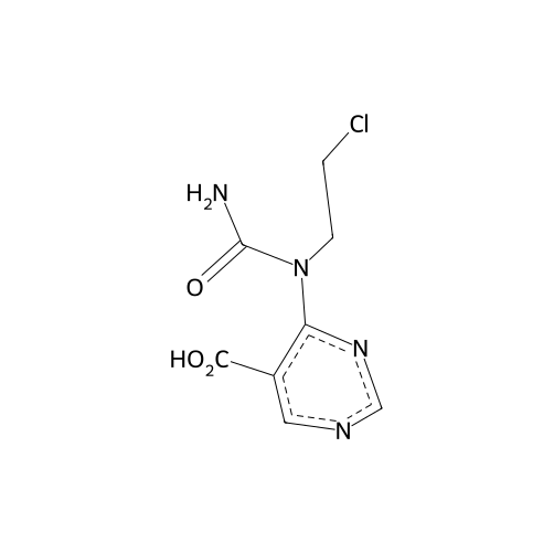 NC(=O)N(CCCl)c1ncncc1C(=O)O